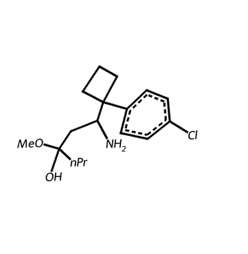 CCCC(O)(CC(N)C1(c2ccc(Cl)cc2)CCC1)OC